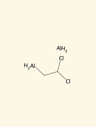 [AlH2][CH2]C(Cl)Cl.[AlH3]